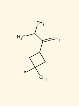 C=C(C(C)C)C1CC(C)(F)C1